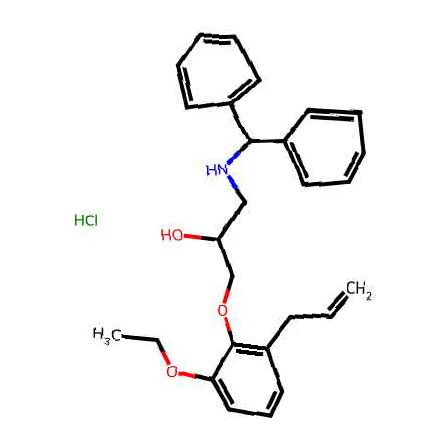 C=CCc1cccc(OCC)c1OCC(O)CNC(c1ccccc1)c1ccccc1.Cl